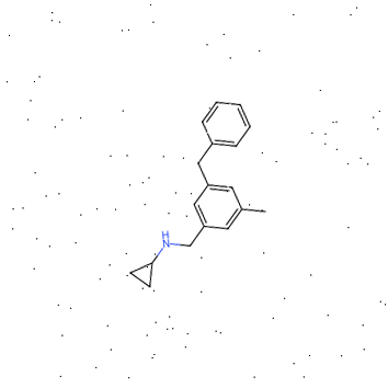 Cc1cc(CNC2CC2)cc(Cc2ccccc2)c1